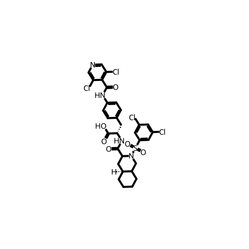 O=C(Nc1ccc(C[C@H](NC(=O)C2C[C@@H]3CCCCC3CN2S(=O)(=O)c2cc(Cl)cc(Cl)c2)C(=O)O)cc1)c1c(Cl)cncc1Cl